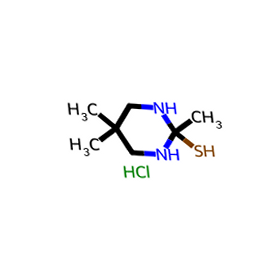 CC1(C)CNC(C)(S)NC1.Cl